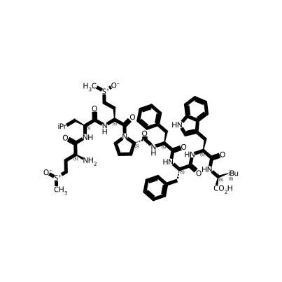 CC[C@H](C)[C@H](NC(=O)[C@H](Cc1c[nH]c2ccccc12)NC(=O)[C@H](Cc1ccccc1)NC(=O)[C@H](Cc1ccccc1)NC(=O)[C@@H]1CCCN1C(=O)[C@H](CC[S+](C)[O-])NC(=O)[C@H](CC(C)C)NC(=O)[C@@H](N)CC[S+](C)[O-])C(=O)O